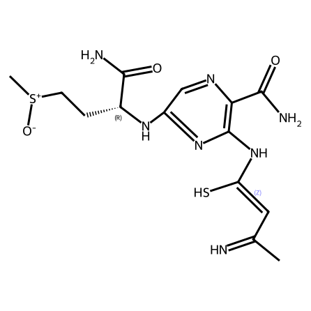 CC(=N)/C=C(\S)Nc1nc(N[C@H](CC[S+](C)[O-])C(N)=O)cnc1C(N)=O